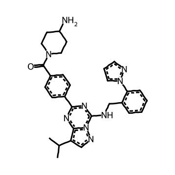 CC(C)c1cnn2c(NCc3ccccc3-n3cccn3)nc(-c3ccc(C(=O)N4CCC(N)CC4)cc3)nc12